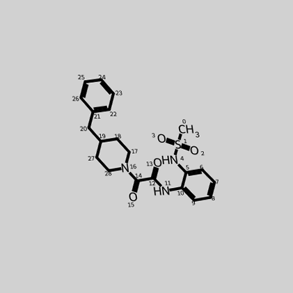 CS(=O)(=O)Nc1ccccc1NC(=O)C(=O)N1CCC(Cc2ccccc2)CC1